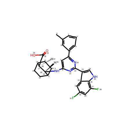 Cc1cccc(-c2cc(N[C@@H]3C4CCC(CC4)[C@H]3C(=O)O)nc(-c3c[nH]c4c(F)cc(F)cc34)n2)c1